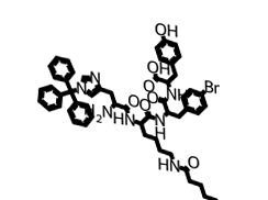 CCCCCCCC(=O)NCCCCC(NC(=O)C(N)Cc1cn(C(c2ccccc2)(c2ccccc2)c2ccccc2)cn1)C(=O)NC(Cc1ccc(Br)cc1)C(=O)NC(Cc1ccc(O)cc1)C(=O)O